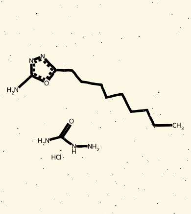 CCCCCCCCCc1nnc(N)o1.Cl.NNC(N)=O